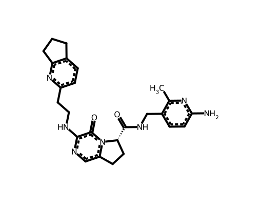 Cc1nc(N)ccc1CNC(=O)[C@@H]1CCc2cnc(NCCc3ccc4c(n3)CCC4)c(=O)n21